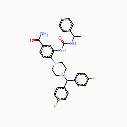 CC(NC(=O)Nc1cc(C(N)=O)ccc1N1CCN(C(c2ccc(F)cc2)c2ccc(F)cc2)CC1)c1ccccc1